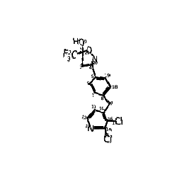 OC1(C(F)(F)F)CC(c2ccc(Cc3ccnc(Cl)c3Cl)cc2)=NO1